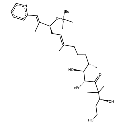 CCC[C@@H](C(=O)C(C)(C)[C@@H](O)CCO)[C@@H](O)[C@@H](C)CCC/C(C)=C/C[C@H](O[Si](C)(C)C(C)(C)C)/C(C)=C/c1ccccn1